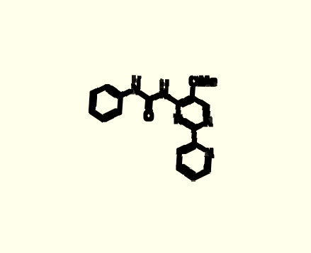 COc1cnc(-c2ccccn2)nc1NC(=O)Nc1ccccc1